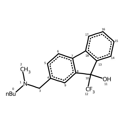 CCCCN(C)Cc1ccc2c(c1)C(O)(C(F)(F)F)c1ccccc1-2